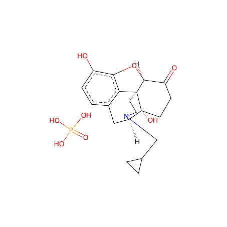 O=C1CC[C@@]2(O)[C@H]3Cc4ccc(O)c5c4[C@@]2(CCN3CC2CC2)[C@H]1O5.O=P(O)(O)O